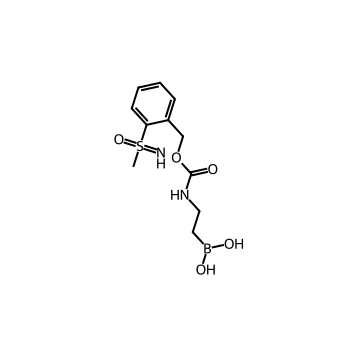 CS(=N)(=O)c1ccccc1COC(=O)NCCB(O)O